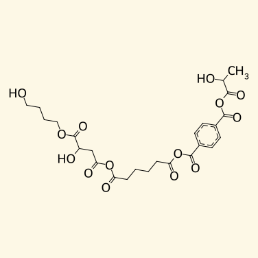 CC(O)C(=O)OC(=O)c1ccc(C(=O)OC(=O)CCCCC(=O)OC(=O)CC(O)C(=O)OCCCCO)cc1